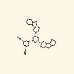 N#Cc1cc(C#N)cc(-c2cc(-c3ccc4oc5ccccc5c4c3)cc(-c3ccc4oc5ccccc5c4c3)c2)c1